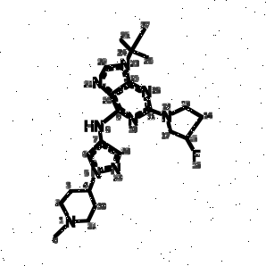 CN1CCC(n2cc(Nc3nc(N4CCC(F)C4)nc4c3ncn4C(C)(C)C)cn2)CC1